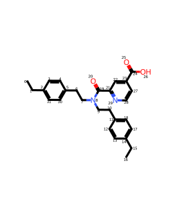 CCc1ccc(CCN(CCc2ccc(CC)cc2)C(=O)c2cc(C(=O)O)ccn2)cc1